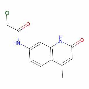 Cc1cc(=O)[nH]c2cc(NC(=O)CCl)ccc12